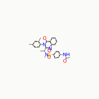 CC(=O)Nc1ccc(S(=O)(=O)N(C)C(C)c2nc3ccccc3c(=O)n2-c2ccc(C)cc2C)cc1